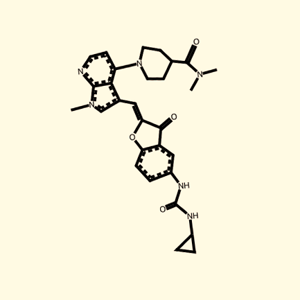 CN(C)C(=O)C1CCN(c2ccnc3c2c(C=C2Oc4ccc(NC(=O)NC5CC5)cc4C2=O)cn3C)CC1